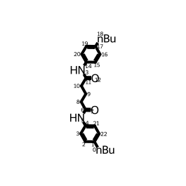 CCCCc1ccc(NC(=O)CCCC(=O)Nc2ccc(CCCC)cc2)cc1